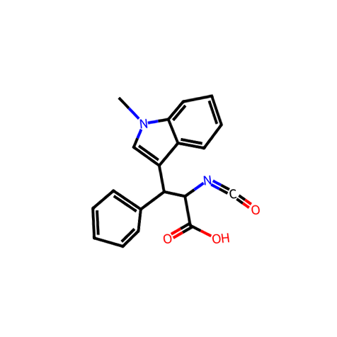 Cn1cc(C(c2ccccc2)C(N=C=O)C(=O)O)c2ccccc21